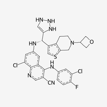 N#Cc1cnc2c(Cl)cc(N[C@H](C3=CNNN3)c3csc4c3CCN(C3COC3)C4)cc2c1Nc1ccc(F)c(Cl)c1